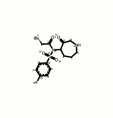 [CH2]C[C@H](C)CC(=O)N(C1CCCNCC1=O)S(=O)(=O)c1ccc(F)cc1